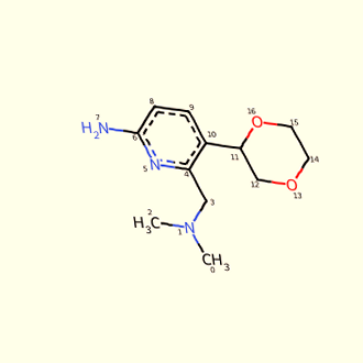 CN(C)Cc1nc(N)ccc1C1COCCO1